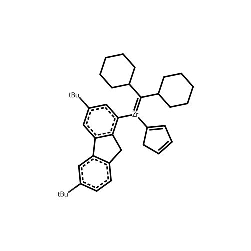 CC(C)(C)c1ccc2c(c1)-c1cc(C(C)(C)C)c[c]([Zr]([C]3=CC=CC3)=[C](C3CCCCC3)C3CCCCC3)c1C2